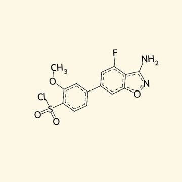 COc1cc(-c2cc(F)c3c(N)noc3c2)ccc1S(=O)(=O)Cl